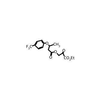 CCOC(=O)C(=O)COC(=O)CC(C)Oc1ccc(C(F)(F)F)cc1